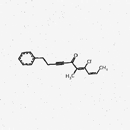 C/C=C\C(Cl)=C(/C)C(=O)C#CCCc1ccccc1